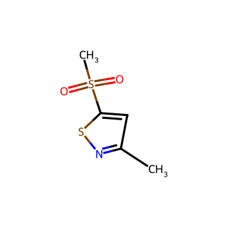 Cc1cc(S(C)(=O)=O)sn1